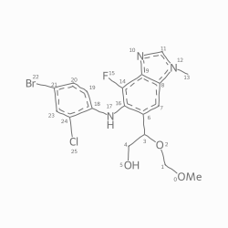 COCOC(CO)c1cc2c(ncn2C)c(F)c1Nc1ccc(Br)cc1Cl